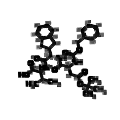 CC(C)C(NC(=O)[C@@H](NC(=O)[C@H](CC(=O)OC(C)(C)C)NC(=O)OCc1ccccc1)C1Cc2ccccc2C1)C(=O)O